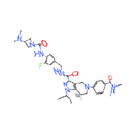 CC(C)n1nc(C(=O)NCc2ccc(NC(=O)N3CC(N(C)C)C3)c(F)c2)c2c1[C@@H](C)CN(c1ccc(C(=O)N(C)C)cc1)C2